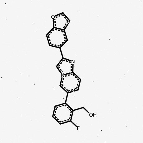 OCc1c(F)cccc1-c1ccc2nc(-c3ccc4occc4c3)cn2c1